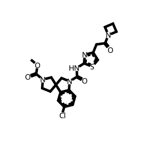 COC(=O)N1CCC2(C1)CN(C(=O)Nc1nc(CC(=O)N3CCC3)cs1)c1ccc(Cl)cc12